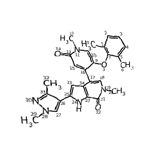 Cc1cccc(C)c1Oc1cn(C)c(=O)cc1-c1cn(C)c(=O)c2[nH]c(-c3cn(C)nc3C)cc12